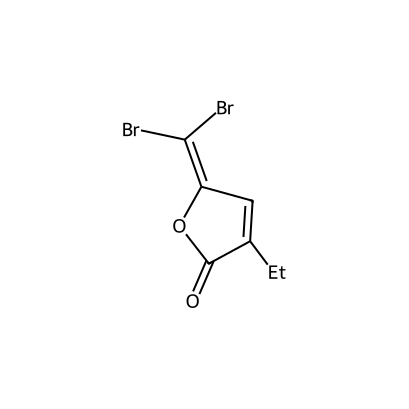 CCC1=CC(=C(Br)Br)OC1=O